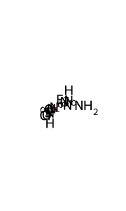 CCc1cc(-c2nnc(NS(=O)(=O)c3ccccc3Cl)cc2C)cc2cnc(N[C@H]3CC[C@H](N)CC3)nc12